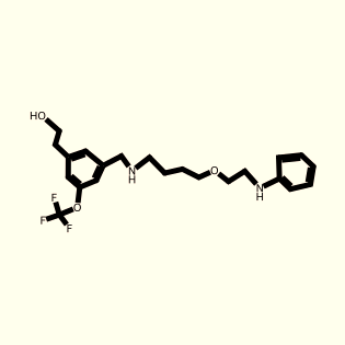 OCCc1cc(CNCCCCOCCNc2ccccc2)cc(OC(F)(F)F)c1